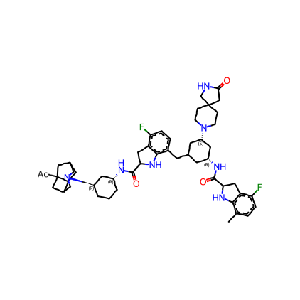 CC(=O)C12CC3CC1C(CN([C@@H]1CCC[C@@H](NC(=O)C4Cc5c(F)ccc(CC6C[C@@H](NC(=O)C7Cc8c(F)ccc(C)c8N7)C[C@@H](N7CCC8(CC7)CNC(=O)C8)C6)c5N4)C1)C3)C2